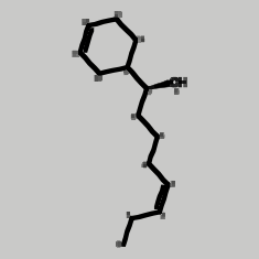 CC/C=C\CCC[C@H](O)C1CC=CCC1